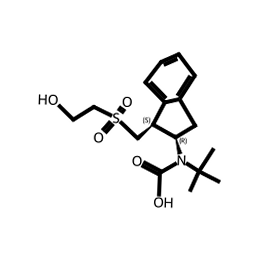 CC(C)(C)N(C(=O)O)[C@@H]1Cc2ccccc2[C@@H]1CS(=O)(=O)CCO